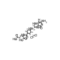 ClCCl.Nc1nc(=O)c2c([nH]1)NC[C@@H](CNc1ccc(C(=O)N[C@@H](CCC(=O)O)C(=O)O)cc1)N2